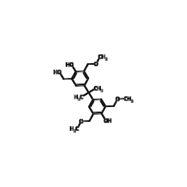 COCc1cc(C(C)(C)c2cc(COC)c(O)c(COC)c2)cc(CO)c1O